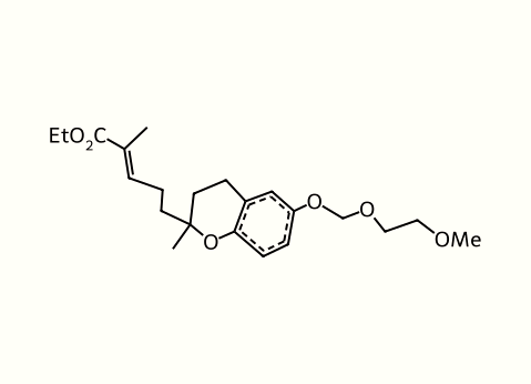 CCOC(=O)/C(C)=C/CCC1(C)CCc2cc(OCOCCOC)ccc2O1